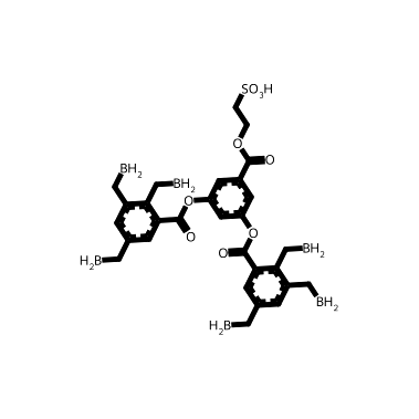 BCc1cc(CB)c(CB)c(C(=O)Oc2cc(OC(=O)c3cc(CB)cc(CB)c3CB)cc(C(=O)OCCS(=O)(=O)O)c2)c1